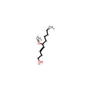 CCCCCC(/C=C/CCO)OC